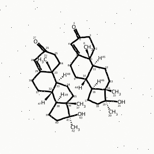 C[C@]12CCC(=O)C=C1CC[C@@H]1[C@@H]2CC[C@@]2(C)[C@H]1CC[C@]2(C)O.C[C@]12CCC(=O)C=C1CC[C@@H]1[C@@H]2CC[C@@]2(C)[C@H]1CC[C@]2(C)O